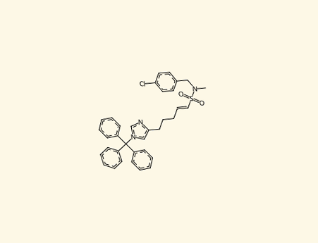 CN(Cc1ccc(Cl)cc1)S(=O)(=O)C=CCCCc1cn(C(c2ccccc2)(c2ccccc2)c2ccccc2)cn1